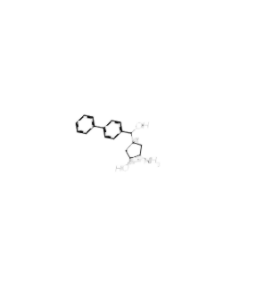 N[C@H]1C[C@H](C(O)c2ccc(-c3ccccc3)cc2)C[C@@H]1O